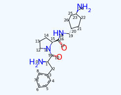 N[C@H](Cc1ccccc1)C(=O)N1CCC[C@H]1C(=O)NC[C@H]1CC[C@H](N)CC1